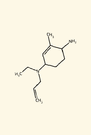 C=CCN(CC)C1C=C(C)C(N)CC1